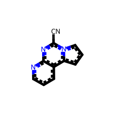 N#Cc1nc2ncccc2c2cccn12